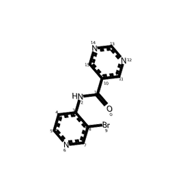 O=C(Nc1ccncc1Br)c1cncnc1